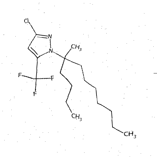 CCCCCCCC(C)(CCCC)n1nc(Cl)cc1C(F)(F)F